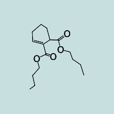 CCCCOC(=O)C1=CCCCC1C(=O)OCCCC